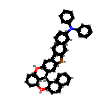 c1ccc(N(c2ccccc2)c2ccc3cc4c(cc3c2)sc2cc3c(cc24)Oc2cccc4c2B3c2c(ccc3ccccc23)O4)cc1